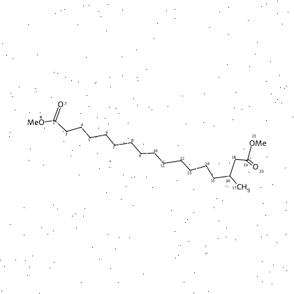 COC(=O)CCCCCCCCCCCCCC(C)CC(=O)OC